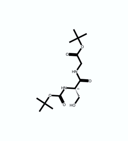 CC(C)(C)OC(=O)CNC(=O)[C@H](CO)NC(=O)OC(C)(C)C